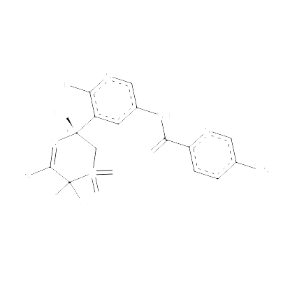 CC1(C)C(N)=N[C@](C)(c2cc(NC(=O)c3ccc(C#N)cn3)cnc2F)CS1(=O)=O